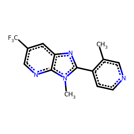 Cc1cnccc1-c1nc2cc(C(F)(F)F)cnc2n1C